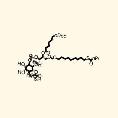 CCCCCCCCCCCCCCCC(=O)O[C@H](COCOCCCCCCCCCSC(=O)CCC)COP(=O)(O)OC1C(O)[C@H](OP(=O)(O)O)C(O)[C@H](O)[C@@H]1O